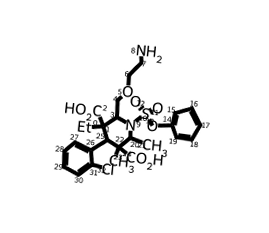 CCC1(C(=O)O)C(COCCN)N(S(=O)(=O)Oc2ccccc2)C(C)C(C)(C(=O)O)C1c1ccccc1Cl